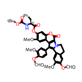 COc1cc(-c2c3n(c4c(=O)oc5cc(OC(=O)[C@H](CC(C)C)NC(=O)OC(C)(C)C)c(OC)cc5c24)CCc2cc(OC=O)c(OC)cc2-3)ccc1OC=O